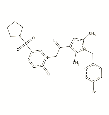 Cc1cc(C(=O)Cn2cc(S(=O)(=O)N3CCCC3)ccc2=O)c(C)n1Cc1ccc(Br)cc1